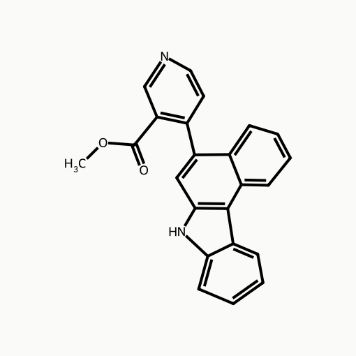 COC(=O)c1cnccc1-c1cc2[nH]c3ccccc3c2c2ccccc12